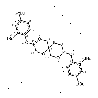 CC(C)(C)c1ccc(OP2CCC3(CO2)COP(Oc2ccc(C(C)(C)C)cc2C(C)(C)C)OO3)c(C(C)(C)C)c1